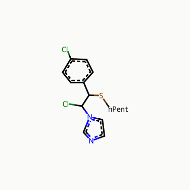 CCCCCSC(c1ccc(Cl)cc1)C(Cl)n1ccnc1